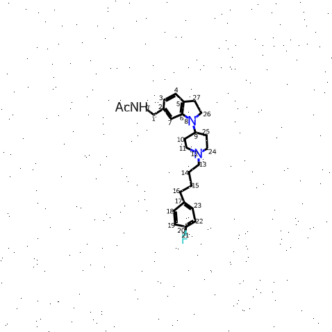 CC(=O)NCc1ccc2c(c1)N(C1CCN(CCCCc3ccc(F)cc3)CC1)CC2